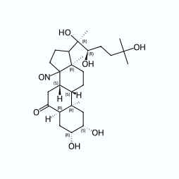 CC(C)(O)CC[C@@H](O)[C@](C)(O)C1CCC2(N=O)[C@H]3CC(=O)[C@@H]4C[C@@H](O)[C@@H](O)C[C@]4(C)[C@H]3CC[C@]12C